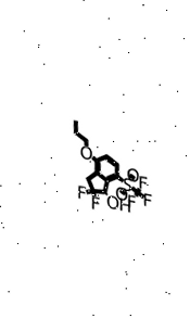 CCCOc1ccc(S(=O)(=O)C(F)(F)F)c2c1CC(F)(F)[C@H]2O